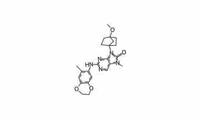 COC12CCC(n3c(=O)n(C)c4cnc(Nc5cc6c(cc5C)OCCO6)nc43)(CC1)C2